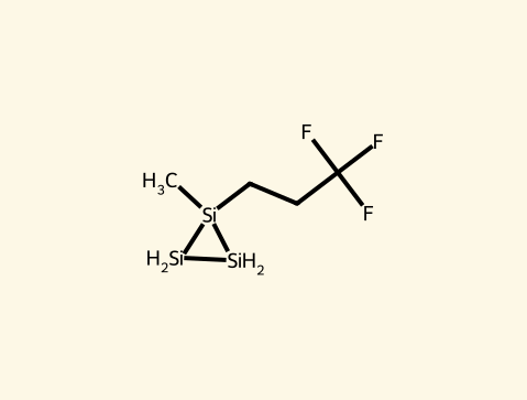 C[Si]1(CCC(F)(F)F)[SiH2][SiH2]1